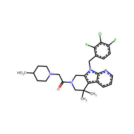 CC1(C)CN(C(=O)CN2CCC(C(=O)O)CC2)Cc2c1c1cccnc1n2Cc1ccc(F)c(Cl)c1F